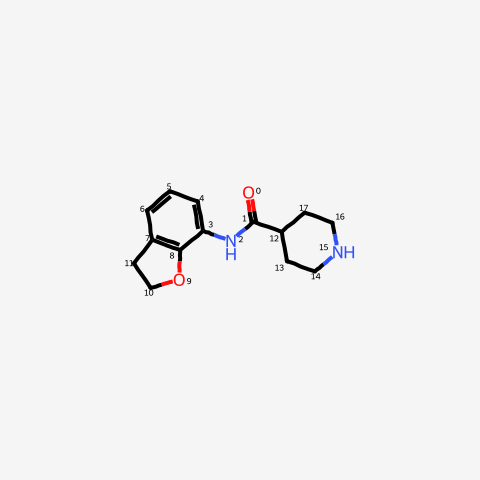 O=C(Nc1cccc2c1OCC2)C1CCNCC1